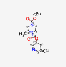 C[C@@H]1CN(C(=O)OC(C)(C)C)CCN1C(=O)Oc1cncc(C#N)c1